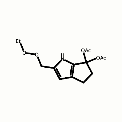 CCOOCc1cc2c([nH]1)C(OC(C)=O)(OC(C)=O)CC2